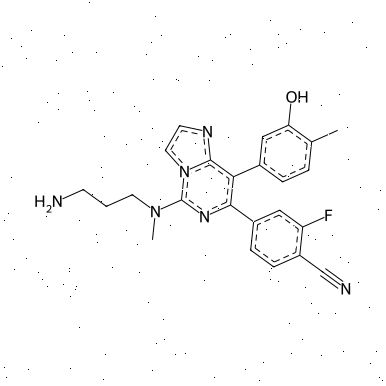 Cc1ccc(-c2c(-c3ccc(C#N)c(F)c3)nc(N(C)CCCN)n3ccnc23)cc1O